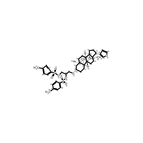 Cc1ccc(S(=O)(=O)OCC(CO[C@H]2CC[C@@]3(C)[C@H](CC[C@@H]4[C@@H]3CC[C@]3(C)[C@@H](c5ccoc5)CC[C@]43O)C2)OS(=O)(=O)c2ccc(C)cc2)cc1